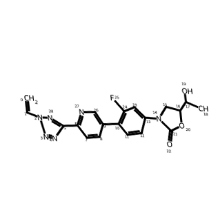 C=Cn1nnc(-c2ccc(-c3ccc(N4CC(C(C)O)OC4=O)cc3F)cn2)n1